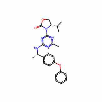 Cc1nc(N[C@@H](C)c2ccc(Oc3ccccc3)cc2)nc(N2C(=O)OC[C@@H]2C(C)C)n1